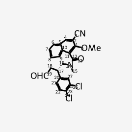 COc1c(C#N)cc2ccccc2c1C(=O)N(C)C[C@@H](CC=O)c1ccc(Cl)c(Cl)c1